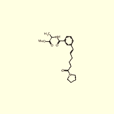 COC(=O)C(C)NC(=O)c1cccc(C=CCCCC(=O)N2CCCC2)c1